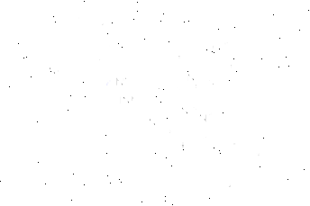 N#Cc1ccccc1/C=N/Nc1cc(N2CCOCC2)n2nc(-c3ccccc3)cc2n1